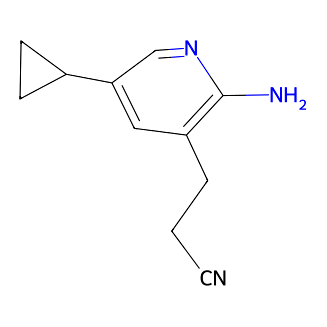 N#CCCc1cc(C2CC2)cnc1N